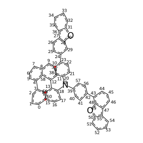 c1ccc(-c2cccc3cccc(-c4ccccc4N(c4ccc(-c5ccc6c(c5)oc5ccccc56)cc4)c4ccc(-c5cccc6c5oc5ccccc56)cc4)c23)cc1